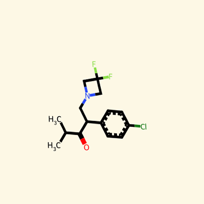 CC(C)C(=O)C(CN1CC(F)(F)C1)c1ccc(Cl)cc1